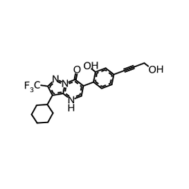 O=c1c(-c2ccc(C#CCO)cc2O)c[nH]c2c(C3CCCCC3)c(C(F)(F)F)nn12